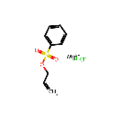 C=CCOS(=O)(=O)c1ccccc1.[Cl-].[Cl-].[Mg+2]